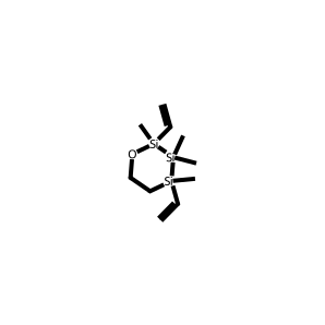 C=C[Si]1(C)CCO[Si](C)(C=C)[Si]1(C)C